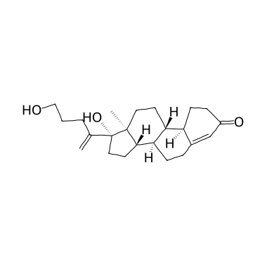 C=C(CCCO)[C@]1(O)CC[C@H]2[C@@H]3CCC4=CC(=O)CC[C@@H]4[C@H]3CC[C@@]21C